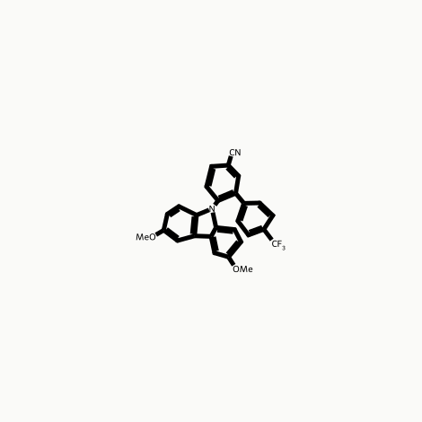 COc1ccc2c(c1)c1cc(OC)ccc1n2-c1ccc(C#N)cc1-c1ccc(C(F)(F)F)cc1